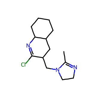 CC1=NCCN1CC1CC2CCCCC2N=C1Cl